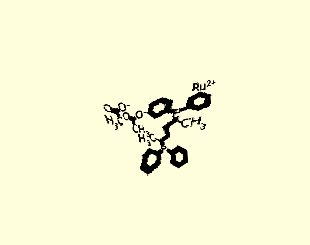 CC(=O)[O-].CC(=O)[O-].C[C@H](CC[C@@H](C)P(c1ccccc1)c1ccccc1)P(c1ccccc1)c1ccccc1.[Ru+2]